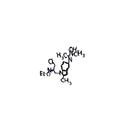 CCO/N=C(/CCl)Cn1c(C)cc2cc(/N=C(\C)N(C)C)ccc21